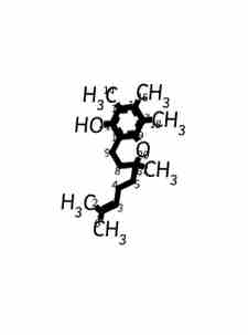 CC(C)=CCCC1(C)CCc2c(O)c(C)c(C)c(C)c2O1